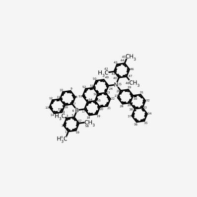 Cc1cc(C)c(B(c2cccc3ccccc23)c2ccc3ccc4c(N(c5ccc6c(ccc7ccccc76)c5)c5c(C)cc(C)cc5C)ccc5ccc2c3c54)c(C)c1